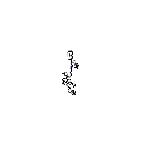 CC[C@@H](C(=O)C1([C@H](CCO[Si](C)(C)C(C)(C)C)O[Si](C)(C)C(C)(C)C)CCC1)[C@@H](O)[C@@H](C)CCC/C(C)=C/C[C@H](O[Si](C)(C)C(C)(C)C)/C(C)=C/c1ccccn1